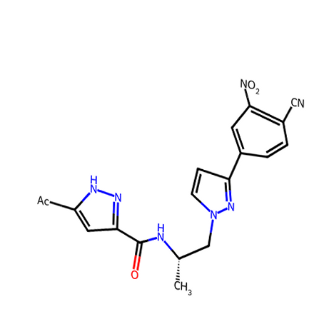 CC(=O)c1cc(C(=O)N[C@@H](C)Cn2ccc(-c3ccc(C#N)c([N+](=O)[O-])c3)n2)n[nH]1